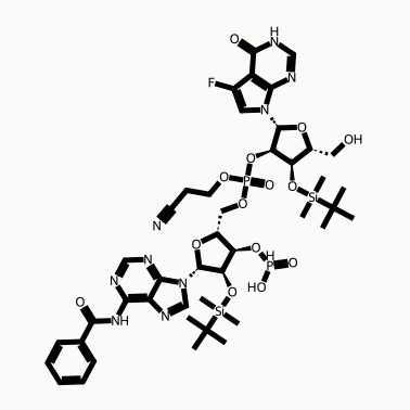 CC(C)(C)[Si](C)(C)O[C@@H]1[C@H](O[PH](=O)O)[C@@H](COP(=O)(OCCC#N)O[C@@H]2[C@H](O[Si](C)(C)C(C)(C)C)[C@@H](CO)O[C@H]2n2cc(F)c3c(=O)[nH]cnc32)O[C@H]1n1cnc2c(NC(=O)c3ccccc3)ncnc21